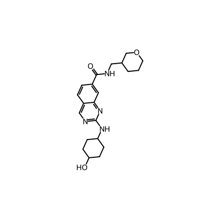 O=C(NCC1CCCOC1)c1ccc2cnc(NC3CCC(O)CC3)nc2c1